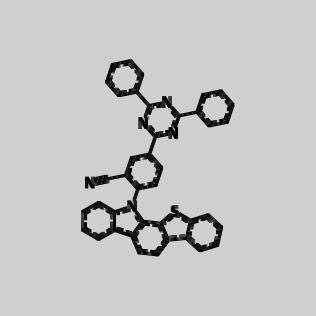 N#Cc1cc(-c2nc(-c3ccccc3)nc(-c3ccccc3)n2)ccc1-n1c2ccccc2c2ccc3c4ccccc4sc3c21